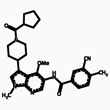 COc1c(NC(=O)c2ccc(C)c(C#N)c2)cnc2c1c(C1CCN(C(=O)C3CCCC3)CC1)cn2C